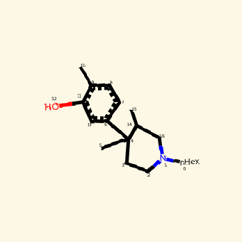 CCCCCCN1CCC(C)(c2ccc(C)c(O)c2)C(C)C1